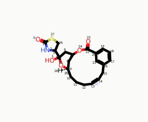 O=C1NC(C2(O)CC3C[C@@H](CCC/C=C\Cc4cccc(c4)C(=O)O3)O2)CS1